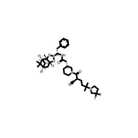 CC1(C)[C@@H]2C[C@H]3OB([C@H](Cc4ccccc4)NC(=O)C[C@H]4CCCN(C(=O)C(C#N)CCC(C)(C)N5CCC(F)(F)C5)C4)O[C@@]3(C)[C@H]1C2